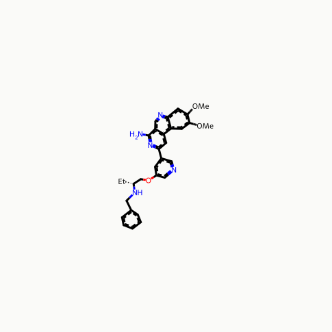 CC[C@H](COc1cncc(-c2cc3c(cnc4cc(OC)c(OC)cc43)c(N)n2)c1)NCc1ccccc1